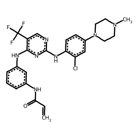 C=CC(=O)Nc1cccc(Nc2nc(Nc3ccc(N4CCN(C)CC4)cc3Cl)ncc2C(F)(F)F)c1